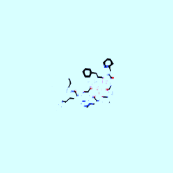 C[C@@H](O)[C@H](NC(=O)[C@H](Cc1c[nH]cn1)NC(=O)[C@H](CC(=O)O)NC(=O)CNC(=O)[C@H](Cc1ccccc1)NC(=O)[C@@H](N)Cc1ccccc1)C(=O)N[C@@H](CCCCN)C(=O)N[C@@H](CCC(=O)O)C(=O)O